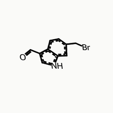 O=Cc1c[nH]c2cc(CBr)ccc12